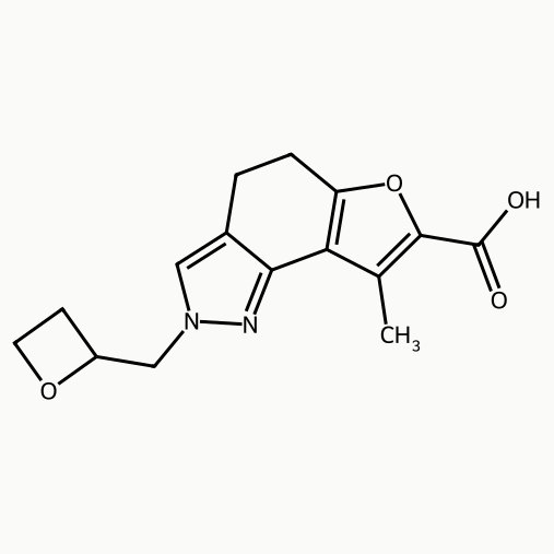 Cc1c(C(=O)O)oc2c1-c1nn(CC3CCO3)cc1CC2